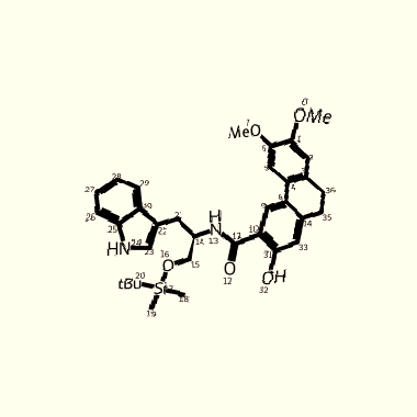 COc1cc2c(cc1OC)-c1cc(C(=O)N[C@@H](CO[Si](C)(C)C(C)(C)C)Cc3c[nH]c4ccccc34)c(O)cc1CC2